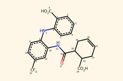 O=C(O)c1ccccc1Nc1ccc(C(F)(F)F)cc1NC(=O)C1CC=CCC1C(=O)O